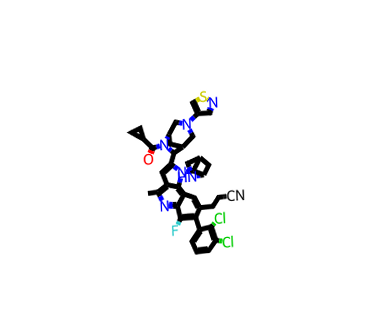 Cc1nc2c(F)c(-c3cccc(Cl)c3Cl)c(CCC#N)cc2c2c1cc(C1C3CC(CN(c4cnsc4)C3)N1C(=O)C1CC1)n2C1C2CNC1C2